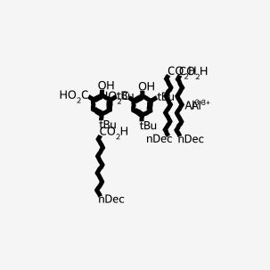 CC(C)(C)c1cc(C(=O)O)c(O)c(C(C)(C)C)c1.CC(C)(C)c1cc(C(=O)O)c(O)c(C(C)(C)C)c1.CCCCCCCCCCCCCCCCCC(=O)O.CCCCCCCCCCCCCCCCCC(=O)O.CCCCCCCCCCCCCCCCCC(=O)O.[Al+3].[Al+3]